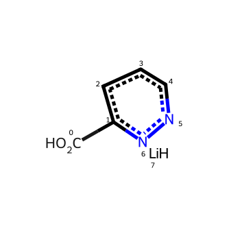 O=C(O)c1cccnn1.[LiH]